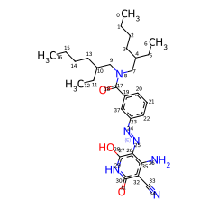 CCCCC(CC)CN(CC(CC)CCCC)C(=O)c1cccc(/N=N/c2c(O)[nH]c(=O)c(C#N)c2N)c1